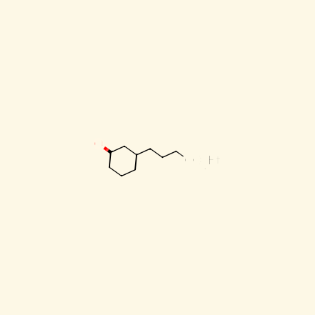 CCOC(=O)CCCC1CCCC(=O)C1